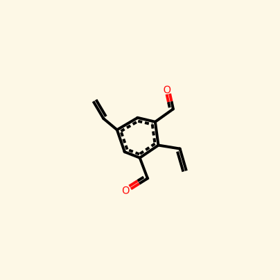 C=Cc1cc(C=O)c(C=C)c(C=O)c1